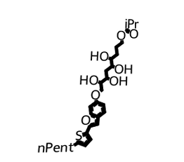 CCCCCc1ccc(-c2cc3ccc(OCC(O)C(O)CC(O)C(O)CCCOC(=O)C(C)C)cc3o2)s1